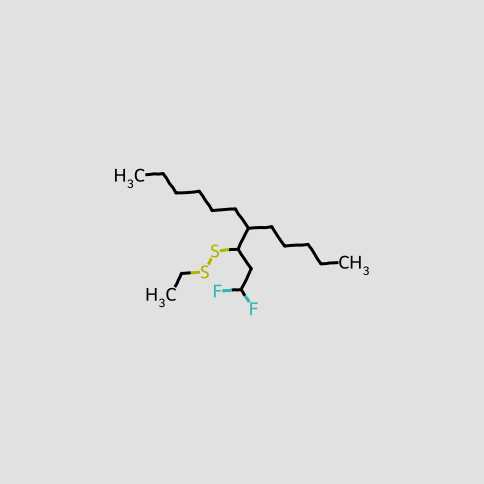 CCCCCCC(CCCCC)C(CC(F)F)SSCC